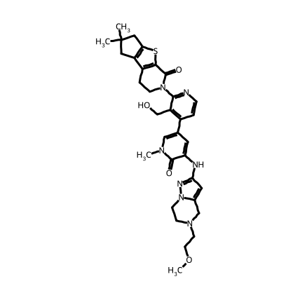 COCCN1CCn2nc(Nc3cc(-c4ccnc(N5CCc6c(sc7c6CC(C)(C)C7)C5=O)c4CO)cn(C)c3=O)cc2C1